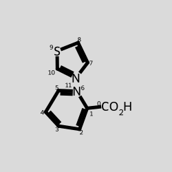 O=C(O)c1ccccn1.c1cscn1